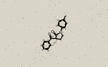 Cc1ccc(N2CC[C@@](C)(C(=O)c3ccccc3)C2=O)cc1